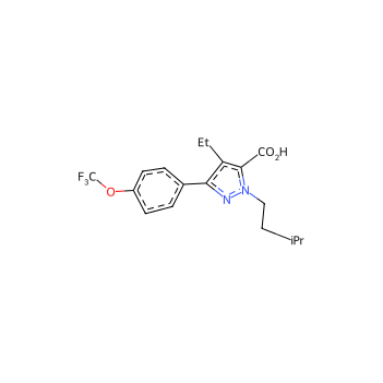 CCc1c(-c2ccc(OC(F)(F)F)cc2)nn(CCC(C)C)c1C(=O)O